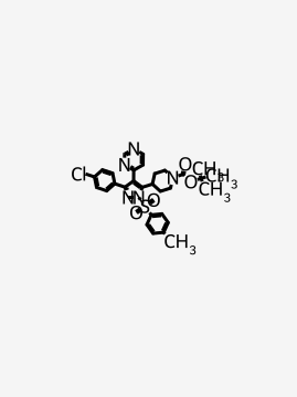 Cc1ccc(S(=O)(=O)n2nc(-c3ccc(Cl)cc3)c(-c3ccncn3)c2C2CCN(C(=O)OC(C)(C)C)CC2)cc1